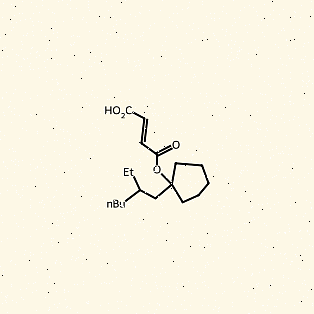 CCCCC(CC)CC1(OC(=O)/C=C/C(=O)O)CCCCC1